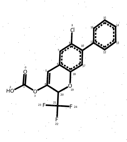 O=C(O)OC1=Cc2cc(Cl)c(-c3ccccc3)cc2OC1C(F)(F)F